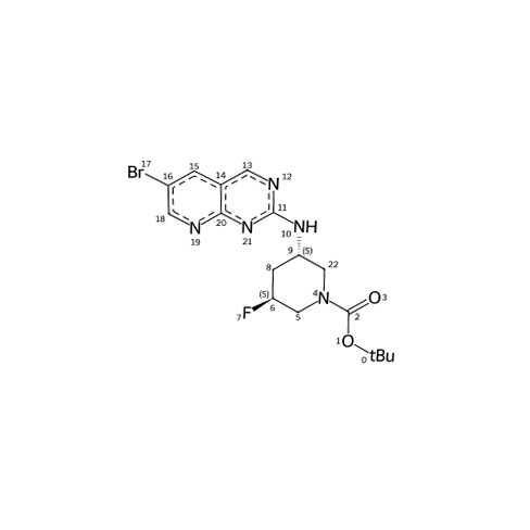 CC(C)(C)OC(=O)N1C[C@@H](F)C[C@H](Nc2ncc3cc(Br)cnc3n2)C1